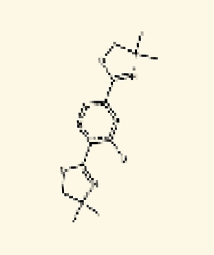 CC1(C)COC(c2ccc(C3=NC(C)(C)CO3)c(Br)c2)=N1